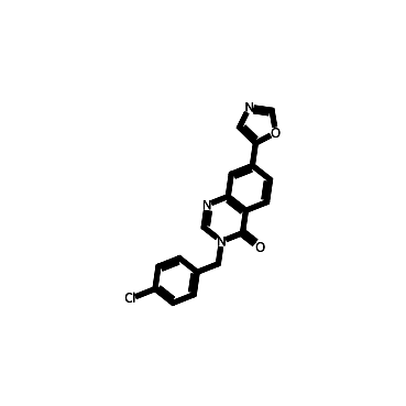 O=c1c2ccc(-c3cnco3)cc2ncn1Cc1ccc(Cl)cc1